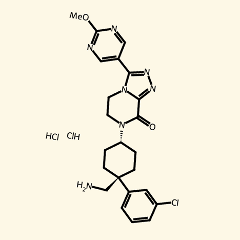 COc1ncc(-c2nnc3n2CCN([C@H]2CC[C@@](CN)(c4cccc(Cl)c4)CC2)C3=O)cn1.Cl.Cl